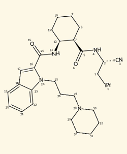 CC(C)C[C@@H](C#N)NC(=O)[C@@H]1CCCC[C@@H]1NC(=O)c1cc2ccccc2n1CCCN1CCCCC1